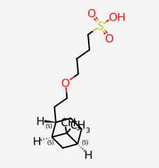 CC1(C)[C@H]2CC[C@@H](CCOCCCCS(=O)(=O)O)[C@@H]1C2